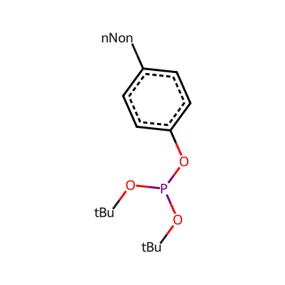 CCCCCCCCCc1ccc(OP(OC(C)(C)C)OC(C)(C)C)cc1